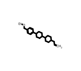 C=CCC1CCC(C2CCC(c3ccc(COCC)cc3)CC2)CC1